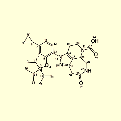 CC(C)[Si](Oc1cc(C2CC2)ccc1-n1nc2c3c1CCN(C(=O)O)C3CNC(=O)C2)(C(C)C)C(C)C